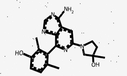 Cc1ccc(O)c(C)c1-c1nc(N2CCC(C)(O)C2)cc2c(N)ncnc12